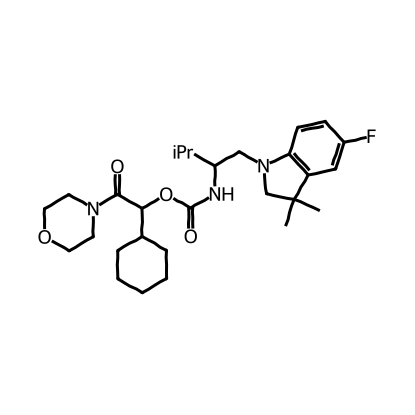 CC(C)C(CN1CC(C)(C)c2cc(F)ccc21)NC(=O)OC(C(=O)N1CCOCC1)C1CCCCC1